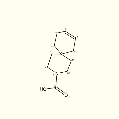 O=C(O)N1CCC2(CC=CCC2)CC1